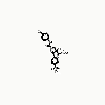 COC(=O)C1(C)CN(C(=O)Nc2ccc(Cl)cc2)N=C1c1ccc(S(C)(=O)=O)cc1